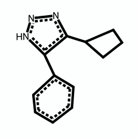 c1ccc(-c2[nH]nnc2C2CCC2)cc1